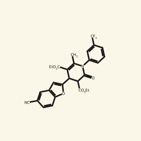 CCOC(=O)C1=C(C)N(c2cccc(C(F)(F)F)c2)C(=O)C(C(=O)OCC)C1c1cc2cc(C#N)ccc2o1